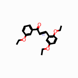 CCOc1cccc(C(=O)/C=C/c2cc(OCC)ccc2OCC)c1